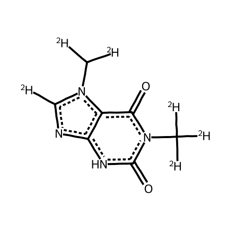 [2H]c1nc2[nH]c(=O)n(C([2H])([2H])[2H])c(=O)c2n1C([2H])[2H]